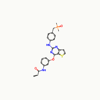 C=CC(=O)Nc1cccc(Oc2nc(Nc3ccc(CP(C)(C)=O)cc3)nc3ccsc23)c1